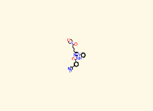 Cn1cc(-c2cccc(C(=O)Nc3nc(CCCC(=O)N4CCOCC4)cn3-c3ccccc3)c2)cn1